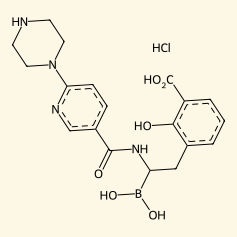 Cl.O=C(NC(Cc1cccc(C(=O)O)c1O)B(O)O)c1ccc(N2CCNCC2)nc1